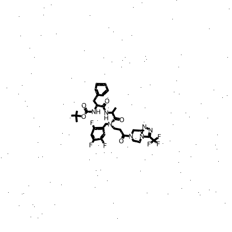 CC(NC(=O)C(Cc1ccccc1)NC(=O)OC(C)(C)C)C(=O)N(CCC(=O)N1CCn2c(nnc2C(F)(F)F)C1)Cc1cc(F)c(F)cc1F